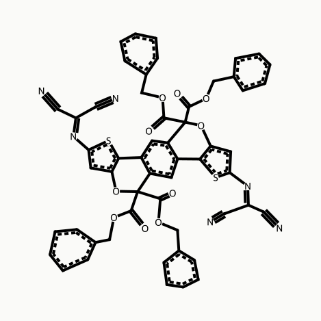 N#CC(C#N)=Nc1cc2c(s1)-c1cc3c(cc1C(C(=O)OCc1ccccc1)(C(=O)OCc1ccccc1)O2)-c1sc(N=C(C#N)C#N)cc1OC3(C(=O)OCc1ccccc1)C(=O)OCc1ccccc1